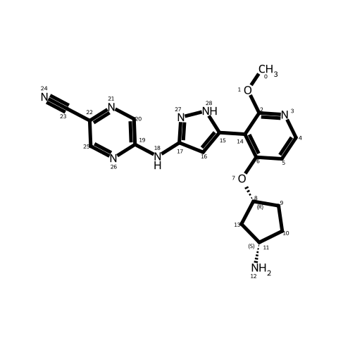 COc1nccc(O[C@@H]2CC[C@H](N)C2)c1-c1cc(Nc2cnc(C#N)cn2)n[nH]1